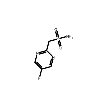 NS(=O)(=O)Cc1ncc(F)cn1